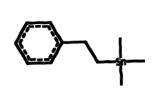 [CH3][Sn]([CH3])([CH3])[CH2]Cc1ccccc1